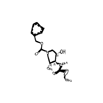 CC(C)(C)OC(=O)N[C@H]1[C@H](O)CN(C(=O)OCc2ccccc2)C[C@@H]1O